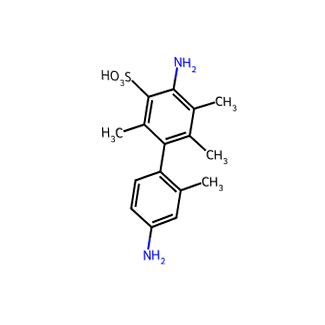 Cc1cc(N)ccc1-c1c(C)c(C)c(N)c(S(=O)(=O)O)c1C